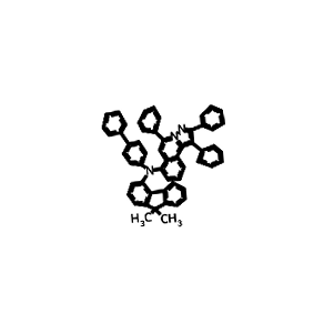 CC1(C)c2ccccc2-c2c(N(c3ccc(-c4ccccc4)cc3)c3cccc4c3cc(-c3ccccc3)n3nc(-c5ccccc5)c(-c5ccccc5)c43)cccc21